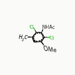 COc1cc(C)c(Cl)c(NC(C)=O)c1Cl